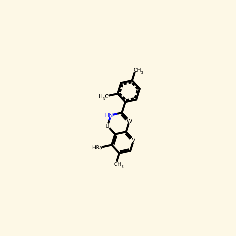 CC1=[CH][V]=[C]2[W]=[C](c3ccc(C)cc3C)[NH][U][C]2=[C]1[RaH]